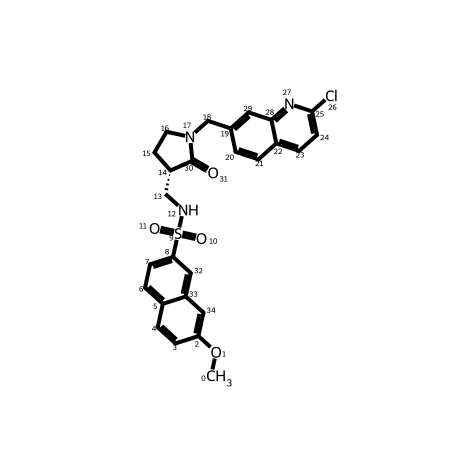 COc1ccc2ccc(S(=O)(=O)NC[C@@H]3CCN(Cc4ccc5ccc(Cl)nc5c4)C3=O)cc2c1